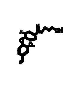 CCc1ccc(Oc2ccc(NCCCCO)cc2F)c(OC)c1